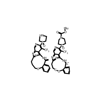 C=C1Nc2nc(nc3cnc(P4(=O)CCNCC4)c(C(F)(F)F)c23)CCCOc2ccccc21.C[C@H]1Nc2nc(nc3cnc(P4(=O)CCN(C(=O)OC(C)(C)C)CC4)c(C(F)(F)F)c23)CCCOc2ccccc21